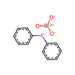 [O-][Br+2]([O-])[O-].c1ccc([I+]c2ccccc2)cc1